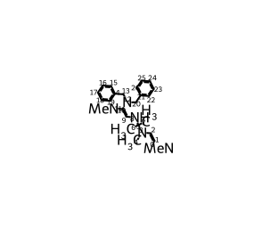 CN/C=C\N(C)C(C)(C)N/C=C(/NC)N(Cc1ccccc1)Cc1ccccc1